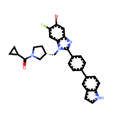 O=C(C1CC1)N1CC[C@H](Cn2c(-c3ccc(-c4ccc5[nH]ccc5c4)cc3)nc3cc(Br)c(F)cc32)C1